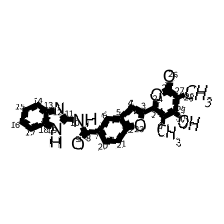 Cc1c(-c2cc3cc(C(=O)Nc4nc5ccccc5[nH]4)ccc3o2)oc(=O)c(C)c1O